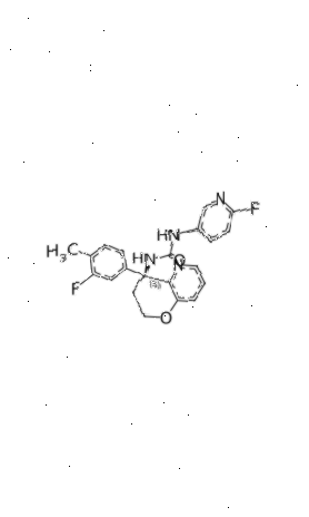 Cc1ccc([C@@]2(NC(=O)Nc3ccc(F)nc3)CCOc3cccnc32)cc1F